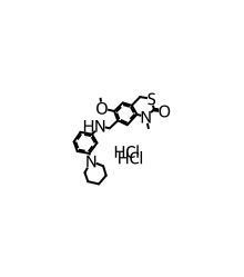 COc1cc2c(cc1CNc1cccc(N3CCCCC3)c1)N(C)C(=O)SC2.Cl.Cl